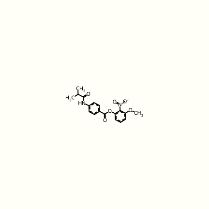 COc1cccc(OC(=O)c2ccc(NC(=O)C(C)C)cc2)c1[N+](=O)[O-]